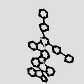 c1ccc(-c2ccc(-c3cc(-c4ccc(-c5ccccc5)cc4)nc(-c4ccccc4-c4cccc5c4c4cccc6c4n5-c4ccccc4C64c5ccccc5-c5ccccc54)n3)cc2)cc1